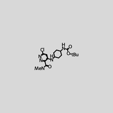 CNC(=O)c1nnc(Cl)cc1NC1CCC(NC(=O)OC(C)(C)C)CC1